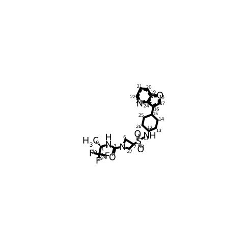 C[C@@H](NC(=O)N1CC(S(=O)(=O)NC2CCC(c3coc4cccnc34)CC2)C1)C(F)(F)F